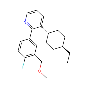 CC[C@H]1CC[C@H](c2cccnc2-c2ccc(F)c(COC)c2)CC1